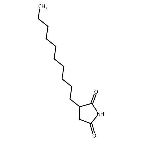 CCCCCCCCCCC1CC(=O)NC1=O